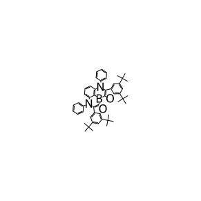 CC(C)(C)c1cc(C(C)(C)C)c2oc3c(c2c1)N(c1ccccc1)c1cccc2c1B3c1oc3c(C(C)(C)C)cc(C(C)(C)C)cc3c1N2c1ccccc1